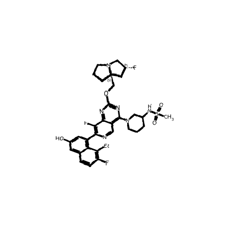 CCc1c(F)ccc2cc(O)cc(-c3ncc4c(N5CCCC(NS(C)(=O)=O)C5)nc(OC[C@@]56CCCN5C[C@H](F)C6)nc4c3F)c12